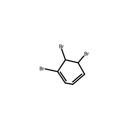 Br[C]1C=CC=C(Br)C1Br